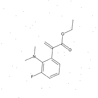 C=C(C(=O)OCC)c1cccc(F)c1N(C)C